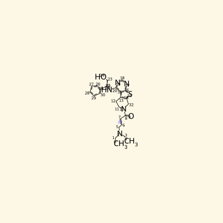 CCN(CC)C/C=C/C(=O)N1CCc2c(sc3ncnc(N[C@H](CO)c4ccccc4)c23)C1